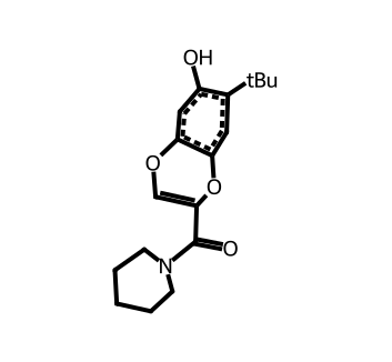 CC(C)(C)c1cc2c(cc1O)OC=C(C(=O)N1CCCCC1)O2